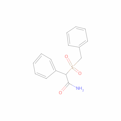 NC(=O)C(c1ccccc1)S(=O)(=O)Cc1ccccc1